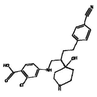 N#Cc1ccc(CCC(CNc2ccc(C(=O)O)c(Cl)c2)C2(O)CCNCC2)cc1